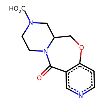 O=C(O)N1CCN2C(=O)c3cnccc3OCC2C1